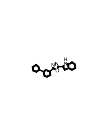 c1ccc(-c2cccc(-c3nnc(-c4cc5ccccc5[nH]4)o3)c2)cc1